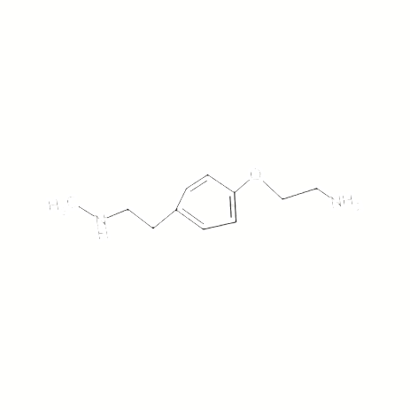 CNCCc1ccc(OCCN)cc1